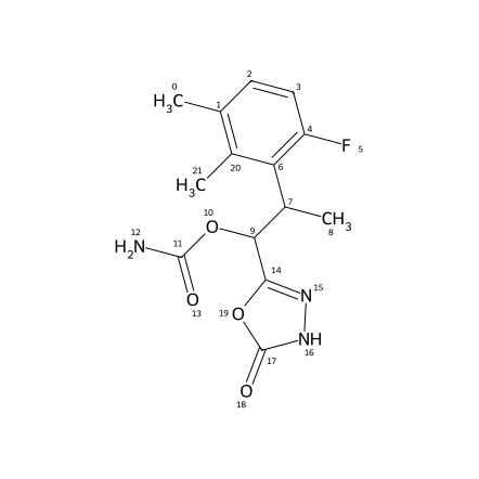 Cc1ccc(F)c(C(C)C(OC(N)=O)c2n[nH]c(=O)o2)c1C